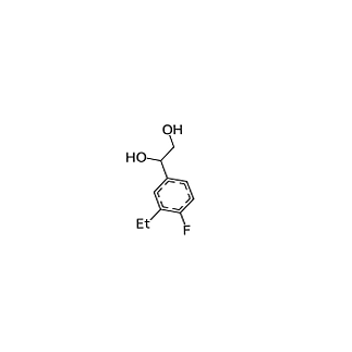 CCc1cc(C(O)CO)ccc1F